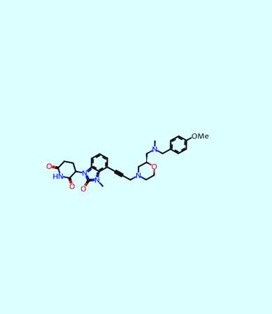 COc1ccc(CN(C)C[C@@H]2CN(CC#Cc3cccc4c3n(C)c(=O)n4C3CCC(=O)NC3=O)CCO2)cc1